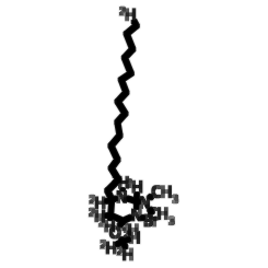 [2H]CCCCCCCCCCCCCCCCC1([2H])N([2H])C([2H])(N(C)C)N(Br)C([2H])(OC([2H])([2H])[2H])C1([2H])[2H]